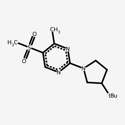 Cc1nc(N2CCC(C(C)(C)C)C2)ncc1S(C)(=O)=O